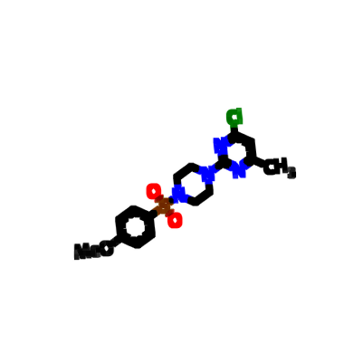 COc1ccc(S(=O)(=O)N2CCN(c3nc(C)cc(Cl)n3)CC2)cc1